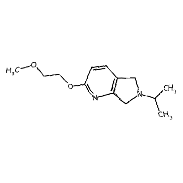 COCCOc1ccc2c(n1)CN(C(C)C)C2